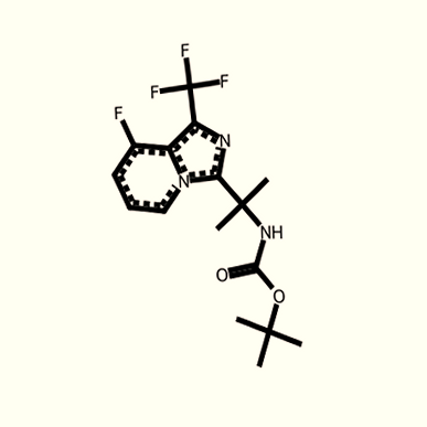 CC(C)(C)OC(=O)NC(C)(C)c1nc(C(F)(F)F)c2c(F)cccn12